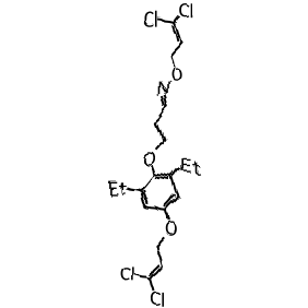 CCc1cc(OCC=C(Cl)Cl)cc(CC)c1OCCC=NOCC=C(Cl)Cl